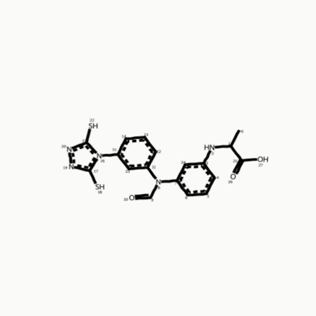 CC(Nc1cccc(N(C=O)c2cccc(-n3c(S)nnc3S)c2)c1)C(=O)O